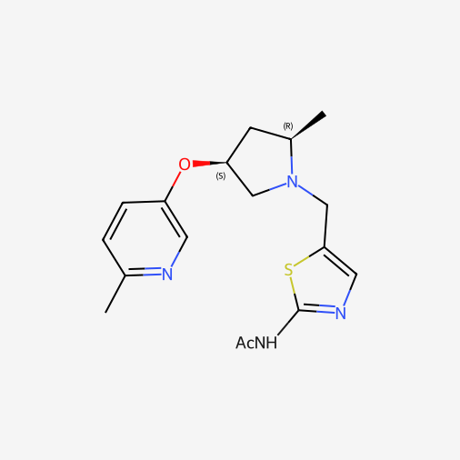 CC(=O)Nc1ncc(CN2C[C@@H](Oc3ccc(C)nc3)C[C@H]2C)s1